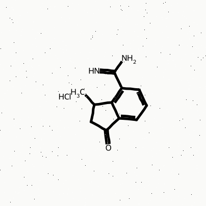 CC1CC(=O)c2cccc(C(=N)N)c21.Cl